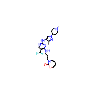 Cc1nn(C2CCN(C)CC2)cc1Nc1ncc(C(F)F)c(NCCCN2C=CC=COC2=O)n1